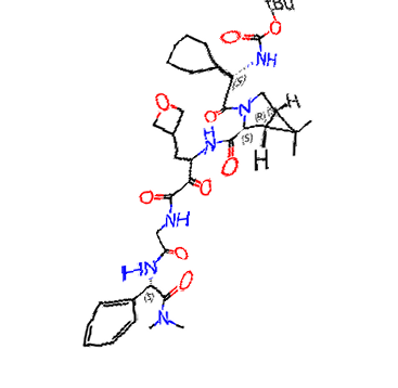 CN(C)C(=O)[C@@H](NC(=O)CNC(=O)C(=O)C(CC1COC1)NC(=O)[C@@H]1[C@@H]2[C@H](CN1C(=O)[C@@H](NC(=O)OC(C)(C)C)C1CCCCC1)C2(C)C)c1ccccc1